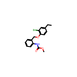 CCc1ccc(OCc2ccccc2NC(=O)OC)c(Br)c1